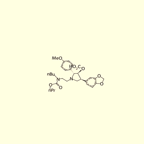 CCCCN(CCN1C[C@H](c2ccc3c(c2)OCO3)[C@H](OC(=O)O)[C@H]1c1ccc(OC)cc1)C(=O)OCCC